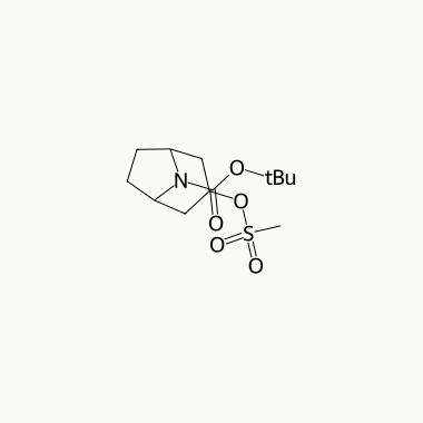 CC(C)(C)OC(=O)N1C2CCC1CC(OS(C)(=O)=O)C2